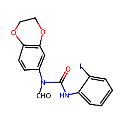 O=CN(C(=O)Nc1ccccc1I)c1ccc2c(c1)OCCO2